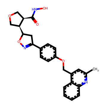 Cc1cc(COc2ccc(C3=NOC([C@H]4COC[C@H]4C(=O)NO)C3)cc2)c2ccccc2n1